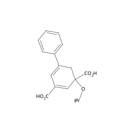 CC(C)OC1(C(=O)O)C=C(C(=O)O)C=C(c2ccccc2)C1